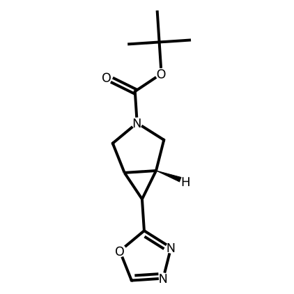 CC(C)(C)OC(=O)N1CC2C(c3nnco3)[C@H]2C1